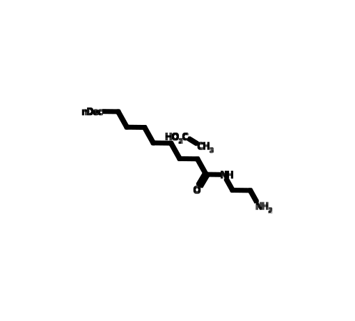 CC(=O)O.CCCCCCCCCCCCCCCCCC(=O)NCCN